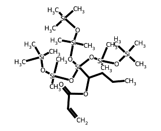 C=CC(=O)OC(CCC)[Si](O[Si](C)(C)O[Si](C)(C)C)(O[Si](C)(C)O[Si](C)(C)C)O[Si](C)(C)O[Si](C)(C)C